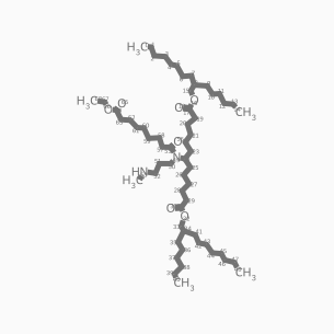 CCCCCCCCC(CCCCCC)COC(=O)CCCCCC(CCCCCC(=O)OCC(CCCCCC)CCCCCCCC)N(CCCNC)C(=O)CCCCCCCC(=O)OCC